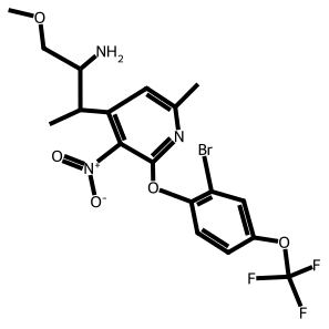 COCC(N)C(C)c1cc(C)nc(Oc2ccc(OC(F)(F)F)cc2Br)c1[N+](=O)[O-]